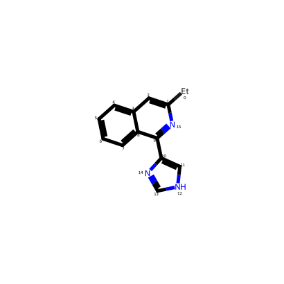 CCc1cc2ccccc2c(-c2c[nH]cn2)n1